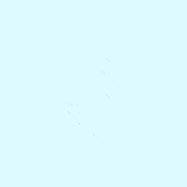 CNNC(=O)Nc1cc(-c2cccc(NC(=O)c3ccc(N4CCCCC4)nc3)c2C)c[nH]c1=O